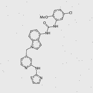 COc1ccc(Cl)cc1NC(=O)Nc1cccc2c1ccn2Cc1ccnc(Nc2nccs2)c1